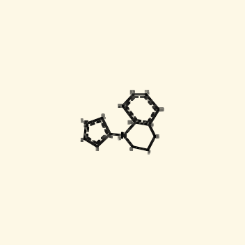 [c]1sccc1N1CCCc2ccccc21